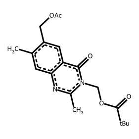 CC(=O)OCc1cc2c(=O)n(COC(=O)C(C)(C)C)c(C)nc2cc1C